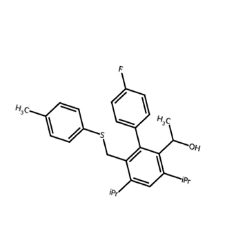 Cc1ccc(SCc2c(C(C)C)cc(C(C)C)c(C(C)O)c2-c2ccc(F)cc2)cc1